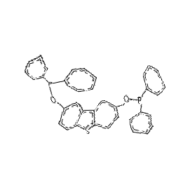 c1ccc(P(Oc2ccc3sc4ccc(OP(c5ccccc5)c5ccccc5)cc4c3c2)c2ccccc2)cc1